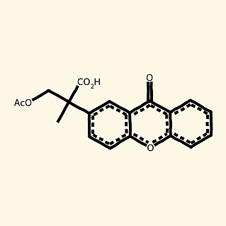 CC(=O)OCC(C)(C(=O)O)c1ccc2oc3ccccc3c(=O)c2c1